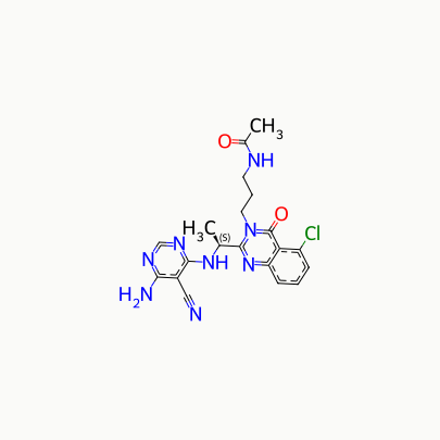 CC(=O)NCCCn1c([C@H](C)Nc2ncnc(N)c2C#N)nc2cccc(Cl)c2c1=O